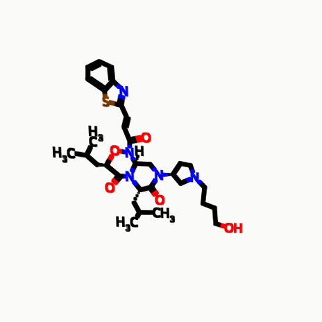 CC(C)C[C@H]1ON(C(=O)/C=C/c2nc3ccccc3s2)[C@H]2CN([C@H]3CCN(CCCCO)C3)C(=O)[C@H](CC(C)C)N2C1=O